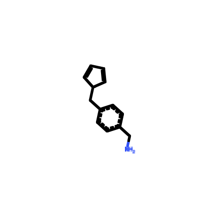 NCc1ccc(C[C]2C=CC=C2)cc1